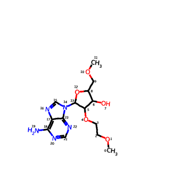 COCCOC1C(O)C(COC)OC1n1cnc2c(N)ncnc21